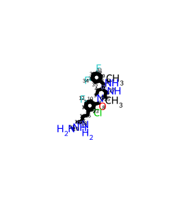 CN/C(=C1/CCN(C(=O)c2cc(F)cc(CC/C(N)=C/NN)c2Cl)[C@H](C)C1=N)c1cc(F)cc(F)c1